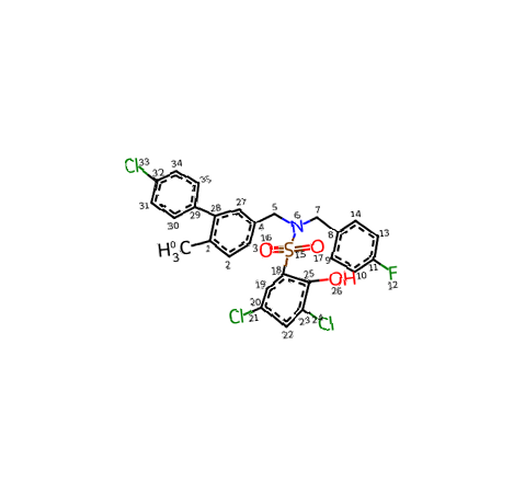 Cc1ccc(CN(Cc2ccc(F)cc2)S(=O)(=O)c2cc(Cl)cc(Cl)c2O)cc1-c1ccc(Cl)cc1